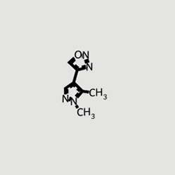 Cc1c(-c2conn2)cnn1C